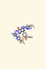 CO[C@]1(C(=O)CC[C@@H](C)c2ccc(-n3cc(F)cn3)nc2)CC[C@H](c2nc(Nc3cc(C)[nH]n3)cc3c(=O)[nH]cnc32)CC1